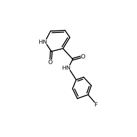 O=C(Nc1ccc(F)cc1)c1ccc[nH]c1=O